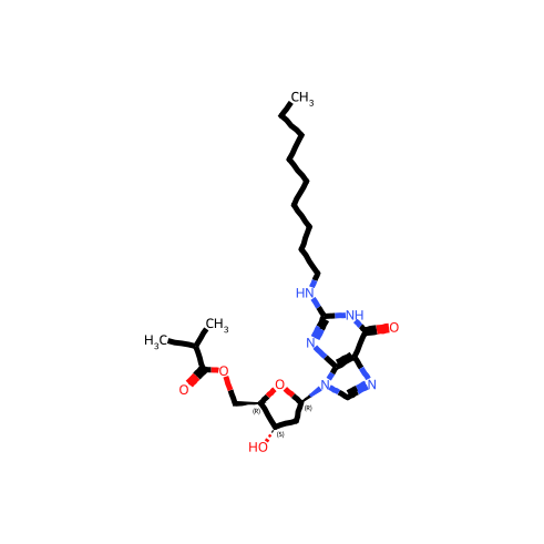 CCCCCCCCCNc1nc2c(ncn2[C@H]2C[C@H](O)[C@@H](COC(=O)C(C)C)O2)c(=O)[nH]1